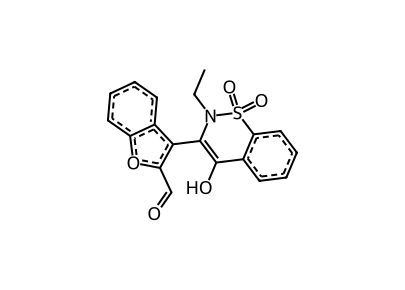 CCN1C(c2c(C=O)oc3ccccc23)=C(O)c2ccccc2S1(=O)=O